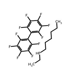 CCCCCCPCC.Fc1c(F)c(F)c(-c2c(F)c(F)c(F)c(F)c2F)c(F)c1F